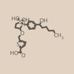 CCCCCC(O)c1ccc(N2C(OCc3ccc(C(=O)O)s3)CCS2(O)O)cc1